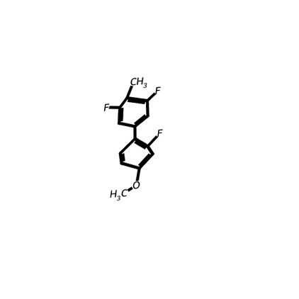 COc1ccc(-c2cc(F)c(C)c(F)c2)c(F)c1